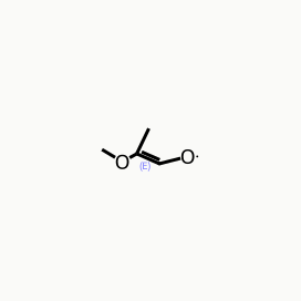 CO/C(C)=C/[O]